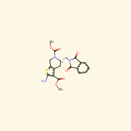 CC(C)(C)OC(=O)c1c(N)sc2c1C[C@@H](CN1C(=O)c3ccccc3C1=O)N(C(=O)OC(C)(C)C)C2